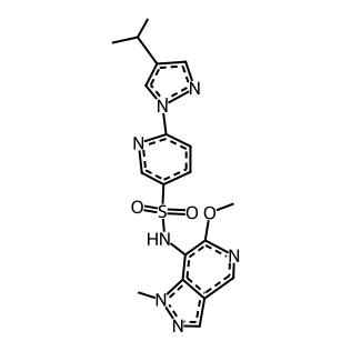 COc1ncc2cnn(C)c2c1NS(=O)(=O)c1ccc(-n2cc(C(C)C)cn2)nc1